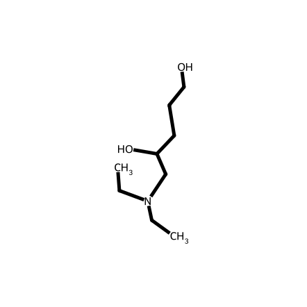 CCN(CC)CC(O)CCCO